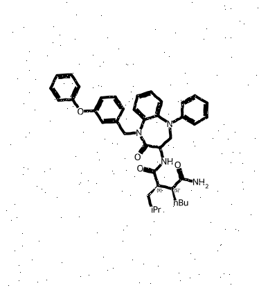 CCCC[C@H](C(N)=O)[C@@H](CC(C)C)C(=O)NC1CN(c2ccccc2)c2ccccc2N(Cc2cccc(Oc3ccccc3)c2)C1=O